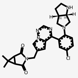 CC1(C)C2C(=O)N(Cc3cc4c(-c5cc(Cl)ccc5N5C[C@@H]6CCN[C@@H]6C5)ncnn4c3)C(=O)C21